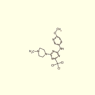 COc1ccc(Nc2nc(N3CCN(C)CC3)nc(C(Cl)(Cl)Cl)n2)cn1